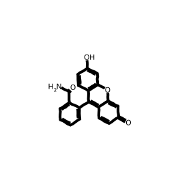 NC(=O)c1ccccc1-c1c2ccc(=O)cc-2oc2cc(O)ccc12